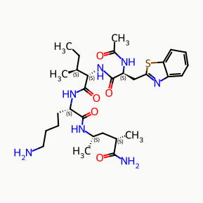 CC[C@H](C)[C@H](NC(=O)[C@H](Cc1nc2ccccc2s1)NC(C)=O)C(=O)N[C@@H](CCCCN)C(=O)N[C@@H](C)C[C@H](C)C(N)=O